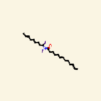 CCCCCCCCCCCCC(=O)N(I)C(I)CCCCCCCC